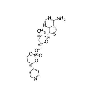 C[C@H]1C[C@@H](CO[P@@]2(=O)OCC[C@@H](c3ccncc3)O2)O[C@H]1c1scc2c(N)ncnc12